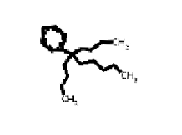 CCCCCC(CCCC)(CCCC)c1[c]cccc1